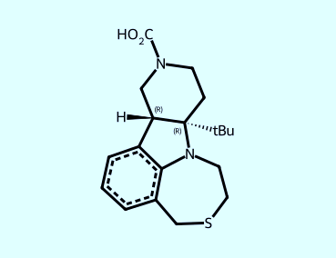 CC(C)(C)[C@@]12CCN(C(=O)O)C[C@H]1c1cccc3c1N2CCSC3